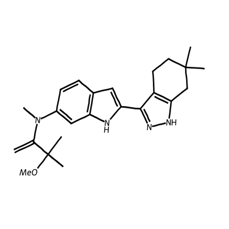 C=C(N(C)c1ccc2cc(-c3n[nH]c4c3CCC(C)(C)C4)[nH]c2c1)C(C)(C)OC